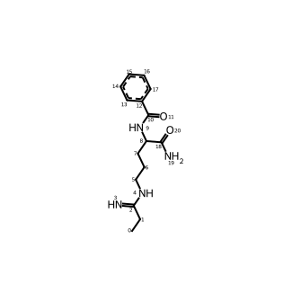 CCC(=N)NCCCC(NC(=O)c1ccccc1)C(N)=O